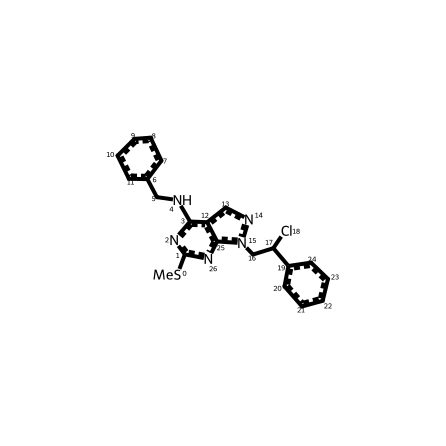 CSc1nc(NCc2ccccc2)c2cnn(CC(Cl)c3ccccc3)c2n1